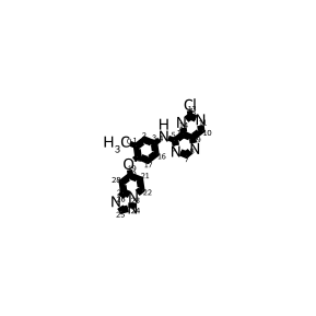 Cc1cc(Nc2ncnc3cnc(Cl)nc23)ccc1Oc1ccn2ncnc2c1